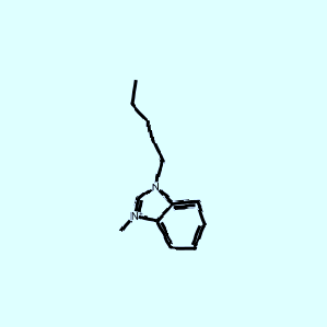 CCCCCn1c[n+](C)c2ccccc21